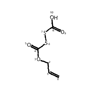 C=CCOC(=O)SSC(=O)O